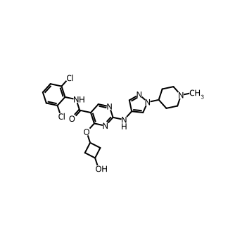 CN1CCC(n2cc(Nc3ncc(C(=O)Nc4c(Cl)cccc4Cl)c(OC4CC(O)C4)n3)cn2)CC1